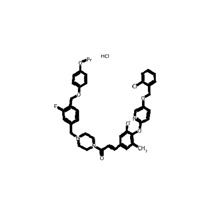 Cc1cc(/C=C/C(=O)N2CCN(Cc3ccc(COc4ccc(OC(C)C)cc4)c(F)c3)CC2)cc(Cl)c1Oc1ccc(OCc2ccccc2Cl)cn1.Cl